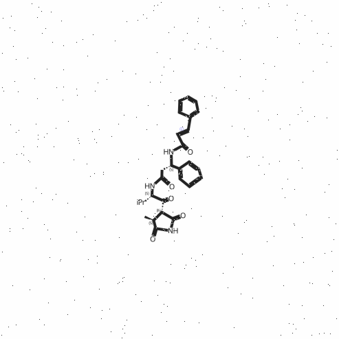 CC(C)[C@H](NC(=O)C[C@H](NC(=O)/C=C/c1ccccc1)c1ccccc1)C(=O)[C@@H]1C(=O)NC(=O)[C@H]1C